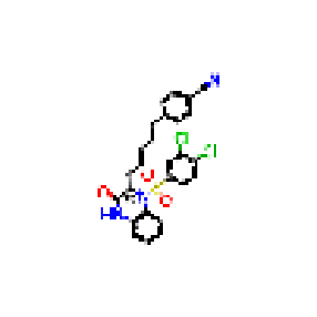 N#Cc1ccc(CCC=CC[C@@H]2C(=O)Nc3ccccc3N2S(=O)(=O)c2ccc(Cl)c(Cl)c2)cc1